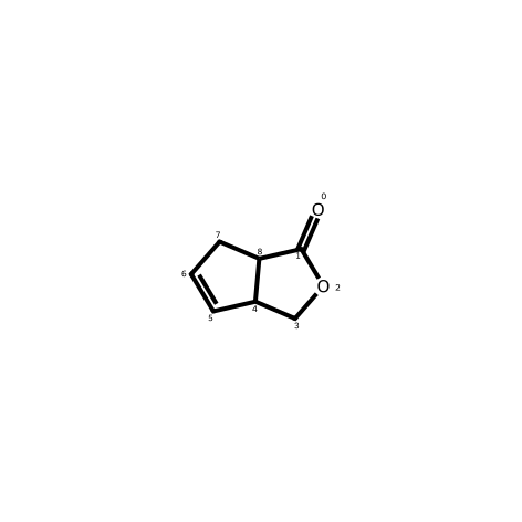 O=C1OCC2C=CCC12